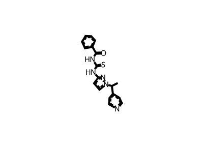 CC(c1ccncc1)n1ccc(NC(=S)NC(=O)c2ccccc2)n1